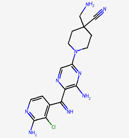 N#CC1(CN)CCN(c2cnc(C(=N)c3ccnc(N)c3Cl)c(N)n2)CC1